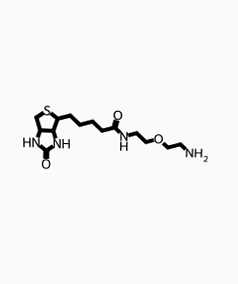 NCCOCCNC(=O)CCCCC1SCC2NC(=O)NC21